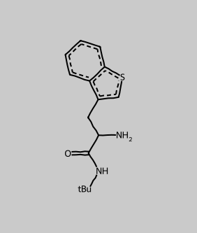 CC(C)(C)NC(=O)C(N)Cc1csc2ccccc12